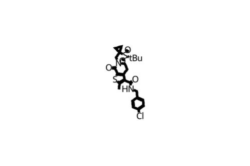 Cc1sc2c(c1C(=O)NCc1ccc(Cl)cc1)CCN(CC1(S(=O)(=O)C(C)(C)C)CC1)C2=O